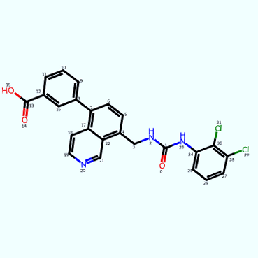 O=C(NCc1ccc(-c2cccc(C(=O)O)c2)c2ccncc12)Nc1cccc(Cl)c1Cl